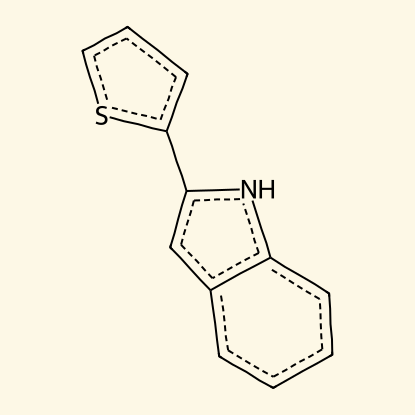 c1csc(-c2cc3ccccc3[nH]2)c1